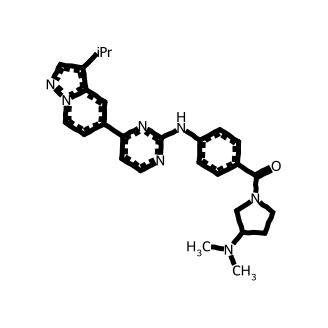 CC(C)c1cnn2ccc(-c3ccnc(Nc4ccc(C(=O)N5CCC(N(C)C)C5)cc4)n3)cc12